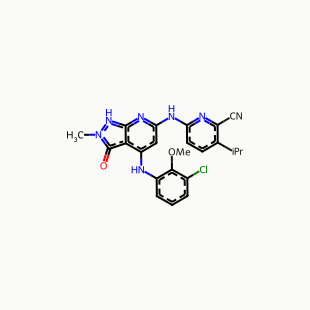 COc1c(Cl)cccc1Nc1cc(Nc2ccc(C(C)C)c(C#N)n2)nc2[nH]n(C)c(=O)c12